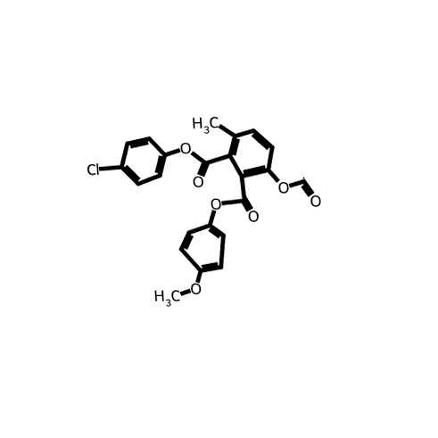 COc1ccc(OC(=O)c2c(O[C]=O)ccc(C)c2C(=O)Oc2ccc(Cl)cc2)cc1